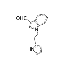 O=Cc1cn(CCc2ccc[nH]2)c2ccccc12